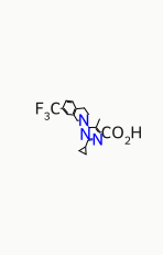 Cc1c(C(=O)O)nc(C2CC2)nc1N1CCc2ccc(C(F)(F)F)cc2C1